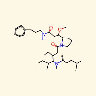 C=C(CCC(C)C)N(C)C(C(C)CC)C(CC)CC(=O)N1CCCC1C(CC(=O)NCCCc1ccccc1)OC